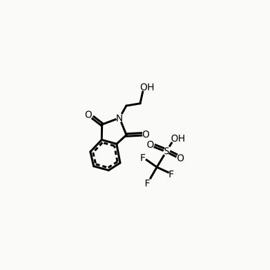 O=C1c2ccccc2C(=O)N1CCO.O=S(=O)(O)C(F)(F)F